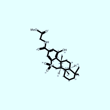 COC(=O)CNC(=O)c1cc(O)c2c(c1)S(=O)(=O)C[C@@H]1[C@@]3(C)CCCC(C)(C)[C@@H]3CC[C@@]21C